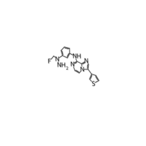 NN(CF)c1cccc(Nc2nccn3c(-c4ccsc4)cnc23)c1